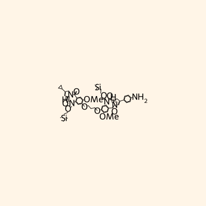 COc1cc2c(cc1OCCCOc1cc3c(cc1OC)C(=O)N1CC(C4CC4)=C[C@H]1C(=O)N3COCC[Si](C)(C)C)N(COCC[Si](C)(C)C)C(=O)[C@@H]1CC(c3ccc(N)cc3)=CN1C2=O